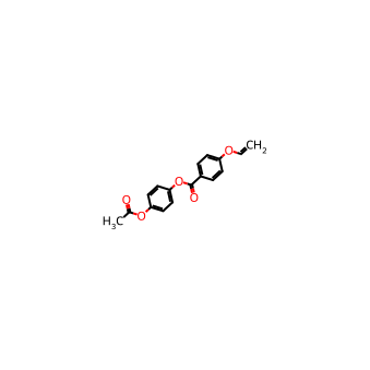 C=COc1ccc(C(=O)Oc2ccc(OC(C)=O)cc2)cc1